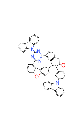 c1ccc(-c2nc(-c3cccc4oc5ccc(-c6cccc7oc8ccc(-n9c%10ccccc%10c%10ccccc%109)cc8c67)cc5c34)nc(-n3c4ccccc4c4ccccc43)n2)cc1